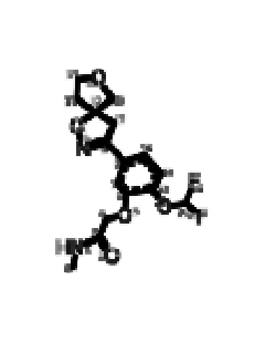 CNC(=O)COc1cc(C2=NOC3(CCOC3)C2)ccc1OC(F)F